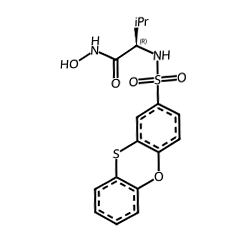 CC(C)[C@@H](NS(=O)(=O)c1ccc2c(c1)Sc1ccccc1O2)C(=O)NO